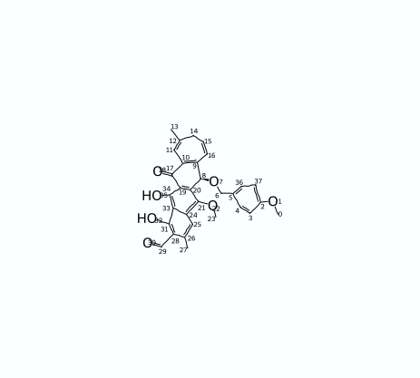 COc1ccc(CO[C@@H]2C3=C(C=C(C)CC=C3)C(=O)c3c2c(OC)c2cc(C)c(C=O)c(O)c2c3O)cc1